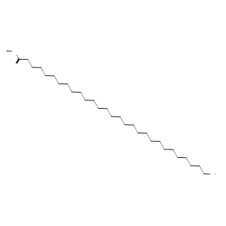 COC(=O)CCCCCCCCCCCCCCCCCCCCCCCCCCCCO